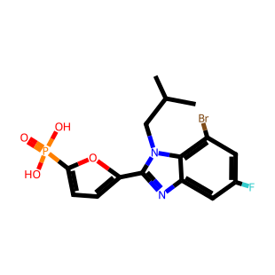 CC(C)Cn1c(-c2ccc(P(=O)(O)O)o2)nc2cc(F)cc(Br)c21